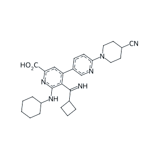 N#CC1CCN(c2ccc(-c3cc(C(=O)O)nc(NC4CCCCC4)c3C(=N)C3CCC3)cn2)CC1